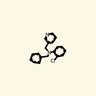 Clc1ccccc1N(Cc1ccccc1)Cc1cccnc1